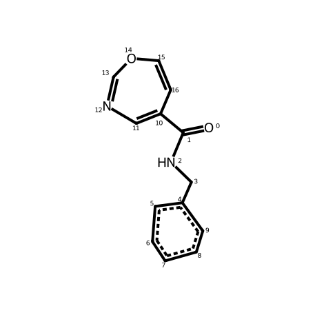 O=C(NCc1ccccc1)C1=CN=COC=C1